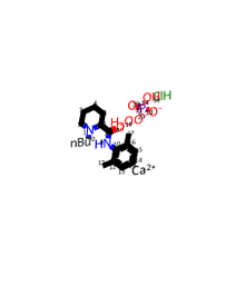 CCCCN1CCCCC1C(=O)Nc1c(C)cccc1C.Cl.O.O=P([O-])([O-])O.[Ca+2]